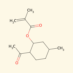 C=C(C)C(=O)OC1CC(C)CCC1C(C)=O